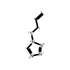 C=CCSn1cnnn1